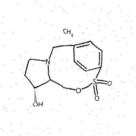 C.O=S1(=O)OCC2[C@H](O)CCN2Cc2ccc1cc2